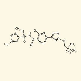 Cc1cn(C)cc1S(=O)(=O)NC(=O)c1ccc(-n2ccc(OCC(C)(C)C)n2)nc1Cl